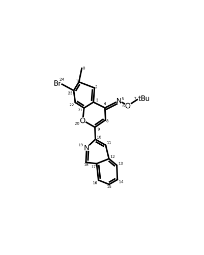 Cc1cc2c(=NOC(C)(C)C)cc(-c3cc4ccccc4cn3)oc2cc1Br